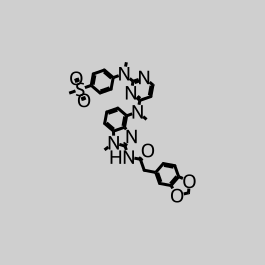 CN(c1ccc(S(C)(=O)=O)cc1)c1nccc(N(C)c2cccc3c2nc(NC(=O)Cc2ccc4c(c2)OCO4)n3C)n1